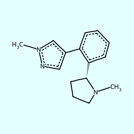 CN1CCC[C@@H]1c1ccccc1-c1cnn(C)c1